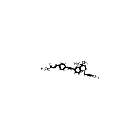 CC#CCN1CCC(C)(C)c2cc(C#Cc3ccc(/C=C/C(=O)OC)cc3)ccc21